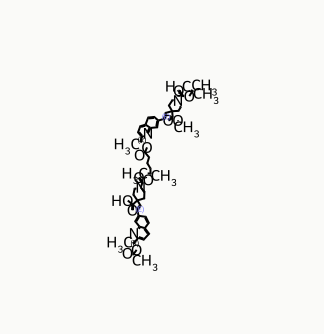 COC(=O)C1(/C=C/c2ccc3ccc([C@@H](C)OC(=O)CCCC(C)(C)OC(=O)N4CCC(/C=C/c5ccc6ccc([C@@H](C)OC(C)=O)nc6c5)(C(=O)O)CC4)nc3c2)CCN(C(=O)OC(C)(C)C)CC1